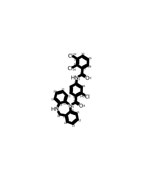 O=C(Nc1ccc(C(=O)N2c3ccccc3CNc3ccccc32)c(Cl)c1)c1cccc(Cl)c1Cl